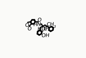 CC(C)(C[C@@](O)(CNC(=O)c1ccc2c(c1)C(=O)OC2)Cc1cccc(O)c1)c1ccccc1